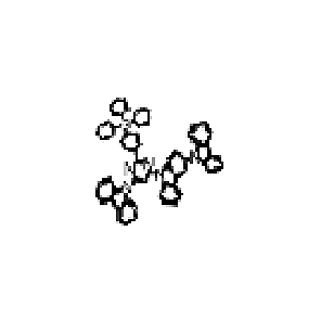 c1ccc([Si](c2ccccc2)(c2ccccc2)c2ccc(-c3nc(-n4c5ccccc5c5ccccc54)cc(-n4c5ccccc5c5cc(-n6c7ccccc7c7ccccc76)ccc54)n3)cc2)cc1